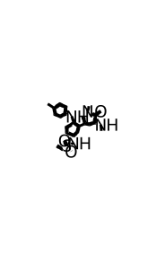 C=CS(=O)(=O)Nc1ccc(Nc2ccc(C)cc2)c(-c2cc(NC)c(=O)n(C)c2)c1